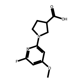 COc1cc(F)nc(N2CCC(C(=O)O)C2)c1